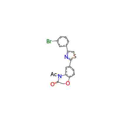 CC(=O)N1C(=O)COc2ccc(-c3nc(-c4cccc(Br)c4)cs3)cc21